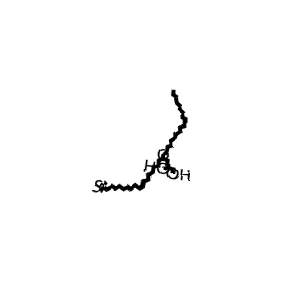 CCCCCCCC/C=C\CCCCCCCCOC(CCCCCCC/C=C\CCCCCCCC[Si](C)(C)C)CC(O)CO